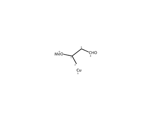 COC(C)CC=O.[Cu]